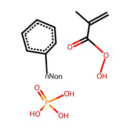 C=C(C)C(=O)OO.CCCCCCCCCc1ccccc1.O=P(O)(O)O